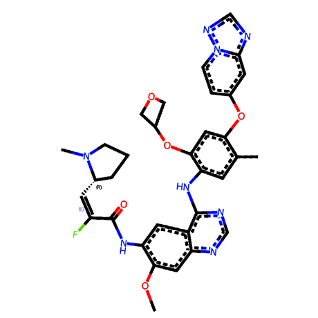 COc1cc2ncnc(Nc3cc(C)c(Oc4ccn5ncnc5c4)cc3OC3COC3)c2cc1NC(=O)/C(F)=C\[C@H]1CCCN1C